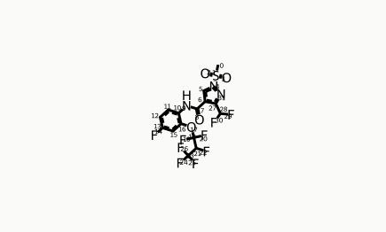 CS(=O)(=O)n1cc(C(=O)Nc2ccc(F)cc2OC(F)(F)C(F)C(F)(F)F)c(C(F)F)n1